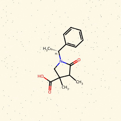 CC1C(=O)N([C@H](C)c2ccccc2)CC1(C)C(=O)O